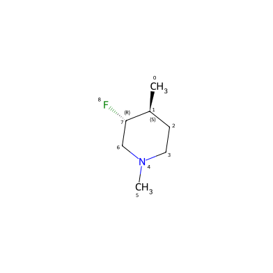 C[C@H]1CCN(C)C[C@@H]1F